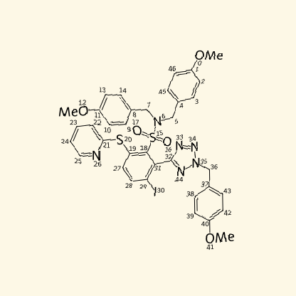 COc1ccc(CN(Cc2ccc(OC)cc2)S(=O)(=O)c2c(Sc3ccccn3)ccc(I)c2-c2nnn(Cc3ccc(OC)cc3)n2)cc1